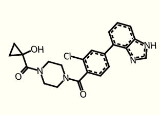 O=C(c1ccc(-c2cccc3[nH]cnc23)cc1Cl)N1CCN(C(=O)C2(O)CC2)CC1